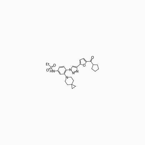 CCS(=O)(=O)Nc1ccc(-n2cc(-c3ccc(C(=O)C4CCCC4)o3)nn2)c(N2CCC3(CC2)CC3)c1